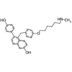 CNCCCCCCOc1ccc(Cc2c(-c3ccc(O)cc3)ccc3cc(O)ccc23)cc1